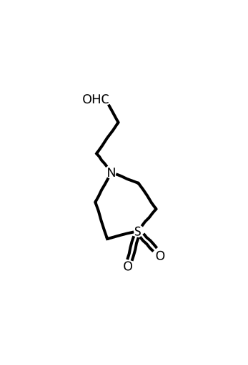 O=CCCN1CCS(=O)(=O)CC1